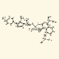 CCN(CC(O)(CNC(=O)c1cnn(-c2ccc(F)cc2)c1N)C(F)(F)F)C(=O)c1c(OC(F)F)cccc1OC(F)F